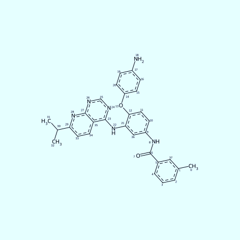 Cc1cccc(C(=O)Nc2ccc(Oc3ccc(N)cc3)c(Nc3ncnc4nc(C(C)C)ccc34)c2)c1